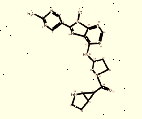 CCn1c(-c2cnc(C)nc2)nc2c(NC3CCN(C(=O)C4C5CCNC54)C3)ncnc21